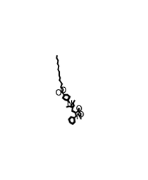 CCCCCCCCCCCCOC(=O)c1ccc(-n2c(C)cc(C=C3C(=O)ON=C3c3ccccc3)c2C)cc1